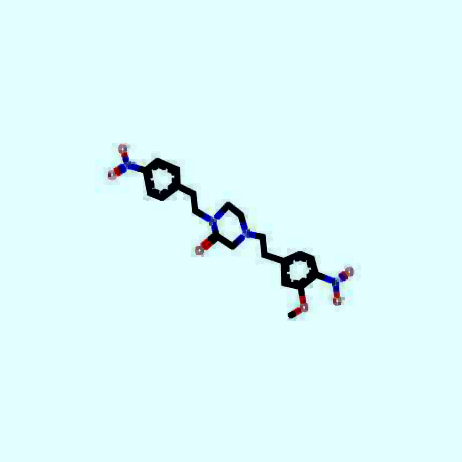 COc1cc(CCN2CCN(CCc3ccc([N+](=O)[O-])cc3)C(=O)C2)ccc1[N+](=O)[O-]